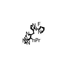 CCCc1c(Cc2ccnn2-c2ncccc2F)ncn2ncnc12